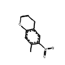 Cc1cc2c(cc1[N+](=O)[O-])CCCO2